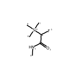 CNC(=O)C(F)[Si](C)(C)C